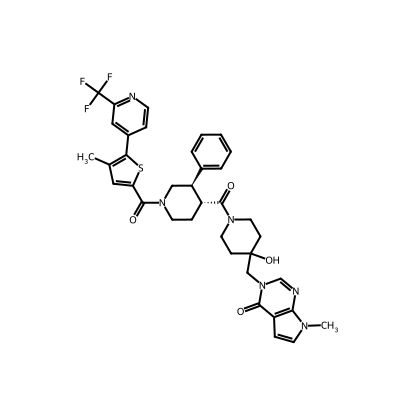 Cc1cc(C(=O)N2CC[C@@H](C(=O)N3CCC(O)(Cn4cnc5c(ccn5C)c4=O)CC3)[C@H](c3ccccc3)C2)sc1-c1ccnc(C(F)(F)F)c1